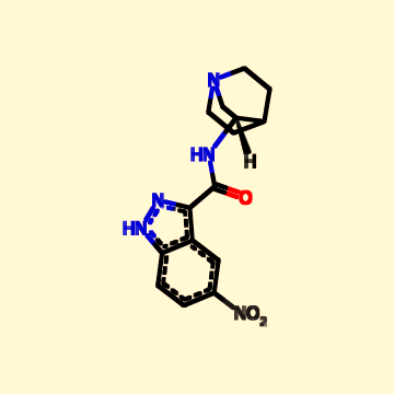 O=C(N[C@@H]1CN2CCC1CC2)c1n[nH]c2ccc([N+](=O)[O-])cc12